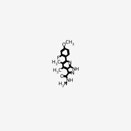 COc1ccc(-c2nc3[nH]nc(C(=O)NN)c3c(C)c2C)c(F)c1